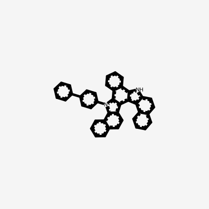 c1ccc(-c2ccc(-n3c4c5ccccc5ccc4c4c5c([nH]c6ccc7ccccc7c65)c5ccccc5c43)cc2)cc1